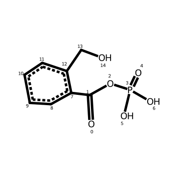 O=C(OP(=O)(O)O)c1ccccc1CO